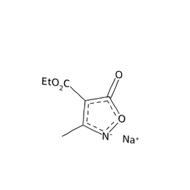 CCOC(=O)c1c(C)[n-]oc1=O.[Na+]